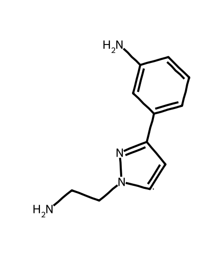 NCCn1[c]cc(-c2cccc(N)c2)n1